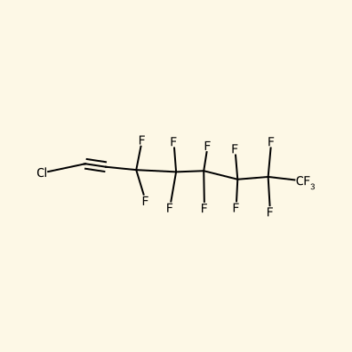 FC(F)(F)C(F)(F)C(F)(F)C(F)(F)C(F)(F)C(F)(F)C#CCl